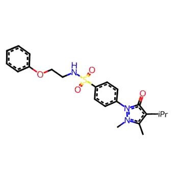 Cc1c(C(C)C)c(=O)n(-c2ccc(S(=O)(=O)NCCOc3ccccc3)cc2)n1C